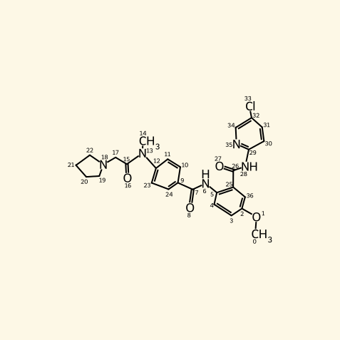 COc1ccc(NC(=O)c2ccc(N(C)C(=O)CN3CCCC3)cc2)c(C(=O)Nc2ccc(Cl)cn2)c1